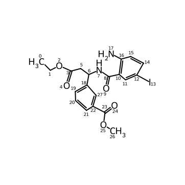 CCOC(=O)CC(NC(=O)c1cc(I)ccc1N)c1cccc(C(=O)OC)c1